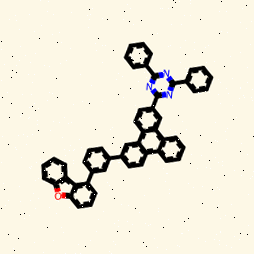 c1ccc(-c2nc(-c3ccccc3)nc(-c3ccc4c5cc(-c6cccc(-c7cccc8oc9ccccc9c78)c6)ccc5c5ccccc5c4c3)n2)cc1